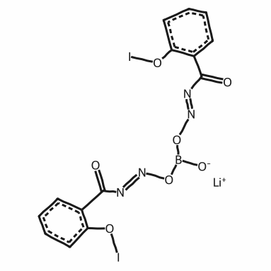 O=C(N=NOB([O-])ON=NC(=O)c1ccccc1OI)c1ccccc1OI.[Li+]